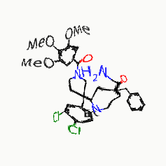 CCN1CCC(Cc2ccccc2)(C(N)=O)CC1C1(c2ccc(Cl)c(Cl)c2)CCN(C(=O)c2cc(OC)c(OC)c(OC)c2)C1